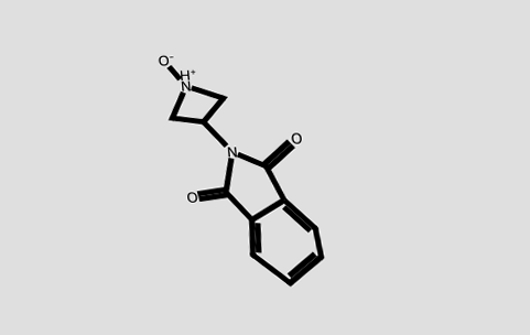 O=C1c2ccccc2C(=O)N1C1C[NH+]([O-])C1